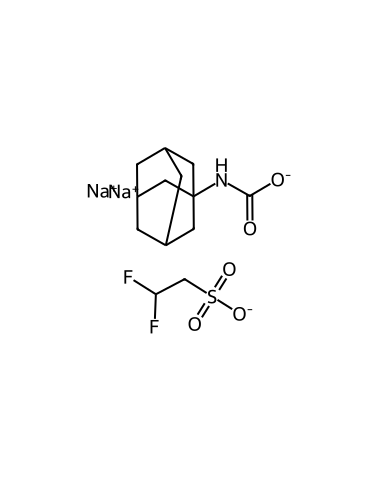 O=C([O-])NC12CC3CC(CC(C3)C1)C2.O=S(=O)([O-])CC(F)F.[Na+].[Na+]